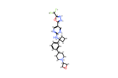 FC(F)c1nnc(-c2cnc(NC3(c4cccc(C5CCN(C6COC6)CC5)c4)CCC3)nc2)o1